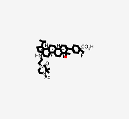 C=C(C)C1CC[C@]2(NCCN3CCN(C(C)=O)C(C)(C)C3=O)CC[C@]3(C)[C@H](CC[C@@H]4[C@@]5(C)CC=C(C6=CC[C@](CF)(C(=O)O)CC6)C(C)(C)[C@@H]5CC[C@]43C)[C@@H]12